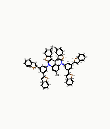 CC(C)(C)c1cc2c3c(c1)N(c1cc(-c4cc5ccccc5s4)cc(-c4cc5ccccc5s4)c1)c1sc4ccc(C(C)(C)C)cc4c1B3c1c(sc3ccc(C(C)(C)C)cc13)N2c1cc(-c2cc3ccccc3s2)cc(-c2cc3ccccc3s2)c1